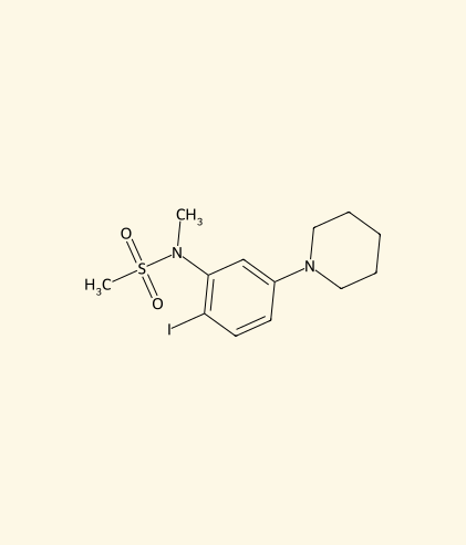 CN(c1cc(N2CCCCC2)ccc1I)S(C)(=O)=O